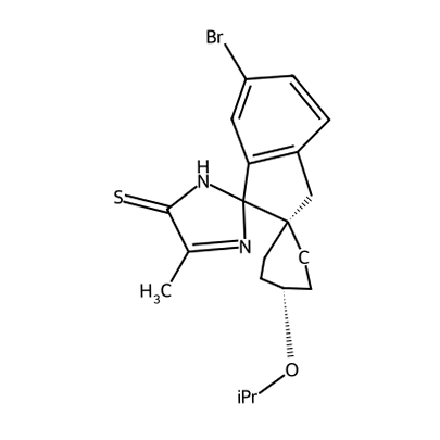 CC1=NC2(NC1=S)c1cc(Br)ccc1C[C@]21CC[C@@H](OC(C)C)CC1